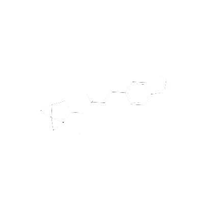 CC12CC13CC3CC2OC(=O)/C=C/c1ccc2c(c1)OCO2